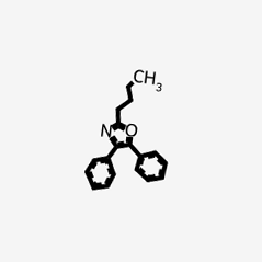 CCCCc1nc(-c2ccccc2)c(-c2ccccc2)o1